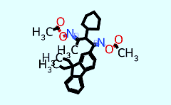 CCC1(CC)c2ccccc2-c2ccc(/C(=N\OC(C)=O)C(/C(C)=N/OC(C)=O)C3CCCCC3)cc21